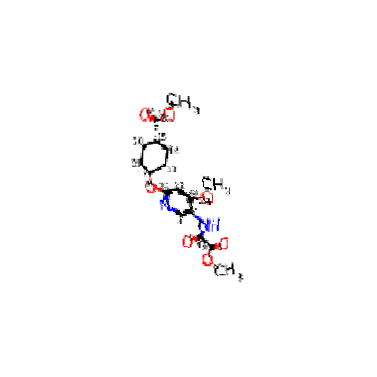 COC(=O)C(=O)Nc1cnc(O[C@H]2CC[C@@H](C(=O)OC)CC2)cc1OC